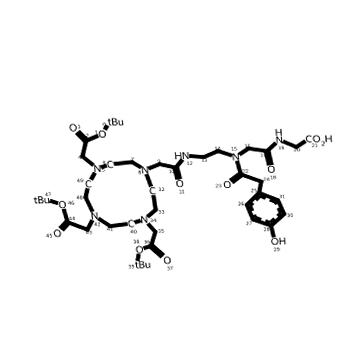 CC(C)(C)OC(=O)CN1CCN(CC(=O)NCCN(CC(=O)NCC(=O)O)C(=O)Cc2ccc(O)cc2)CCN(CC(=O)OC(C)(C)C)CCN(CC(=O)OC(C)(C)C)CC1